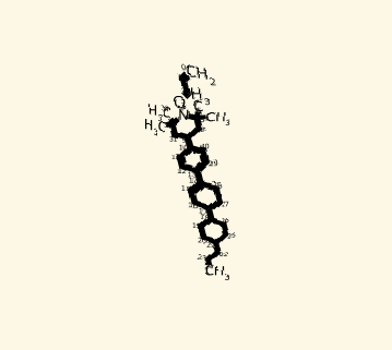 C=CCON1C(C)(C)CC(c2ccc(C3=CCC(C4CCC(CCC)CC4)CC3)cc2)CC1(C)C